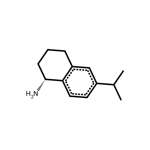 CC(C)c1ccc2c(c1)CCC[C@H]2N